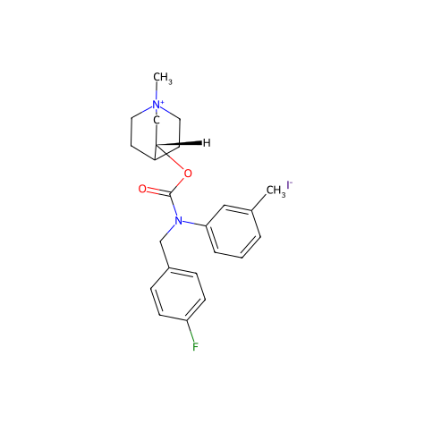 Cc1cccc(N(Cc2ccc(F)cc2)C(=O)O[C@H]2C[N+]3(C)CCC2CC3)c1.[I-]